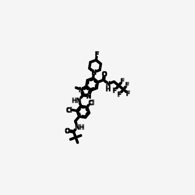 Cn1c(Nc2c(Cl)ccc(CNC(=O)C(C)(C)C)c2Cl)nc2cc(C(=O)NCC(F)(F)C(F)(F)F)c(N3CCC(F)CC3)cc21